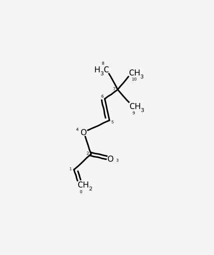 C=CC(=O)OC=CC(C)(C)C